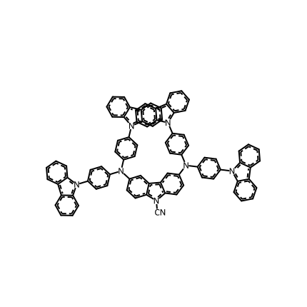 N#Cn1c2ccc(N(c3ccc(-n4c5ccccc5c5ccccc54)cc3)c3ccc(-n4c5ccccc5c5ccccc54)cc3)cc2c2cc(N(c3ccc(-n4c5ccccc5c5ccccc54)cc3)c3ccc(-n4c5ccccc5c5ccccc54)cc3)ccc21